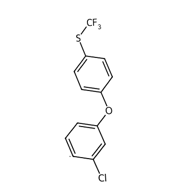 FC(F)(F)Sc1ccc(Oc2cc[c]c(Cl)c2)cc1